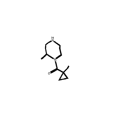 CC1CNCCN1C(=O)C1(C)CC1